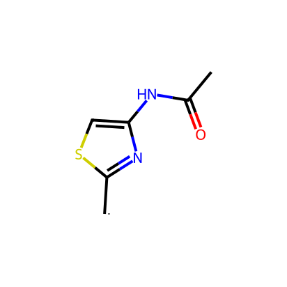 [CH2]c1nc(NC(C)=O)cs1